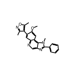 COc1cc2c(cc1-c1c(C)noc1C)ncc1nc(-c3ccccc3)n(C)c12